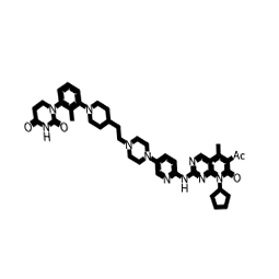 CC(=O)c1c(C)c2cnc(Nc3ccc(N4CCN(CCC5CCN(c6cccc(N7CCC(=O)NC7=O)c6C)CC5)CC4)cn3)nc2n(C2CCCC2)c1=O